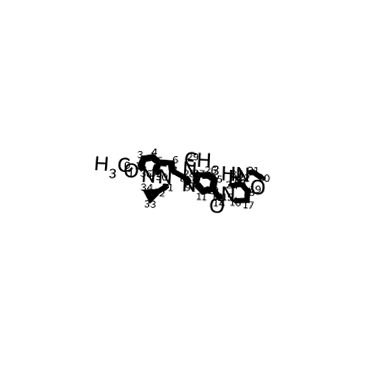 COc1ccc2cc(-c3nc4cc(C(=O)N5CCC6OCCN[C@H]6C5)ccc4n3C)n(CC3CC3)c2n1